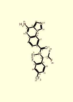 CCN(C(=O)c1ccc2nc(N)c3cncn3c2c1)[C@@H](c1ccc(C(F)(F)F)cc1F)C(F)F